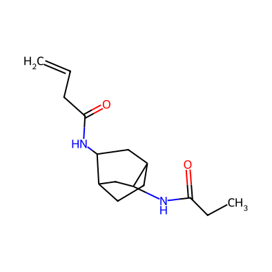 C=CCC(=O)NC1CC2CCC1CC2NC(=O)CC